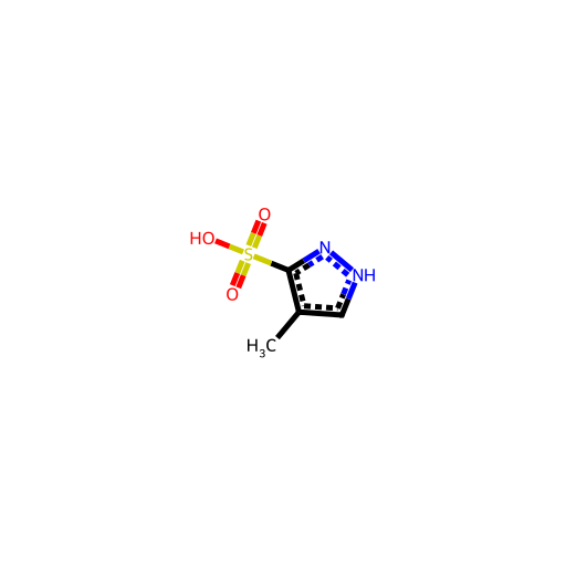 Cc1c[nH]nc1S(=O)(=O)O